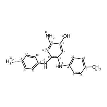 Cc1ccc(Nc2cc(O)c(N)nc2Nc2ccc(C)cc2)cc1